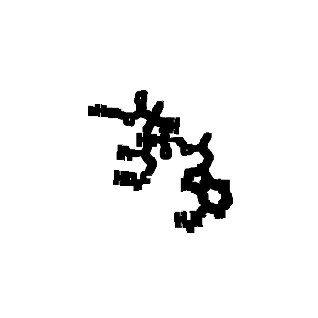 CCCCCCOC(=O)C(C)(C)N[P@](=O)(COC(C)Cn1cnc2c(N)ncnc21)N[C@@H](CC(=O)O)C(C)C